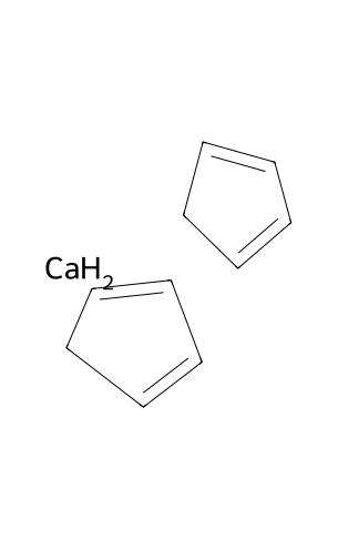 C1=CCC=C1.C1=CCC=C1.[CaH2]